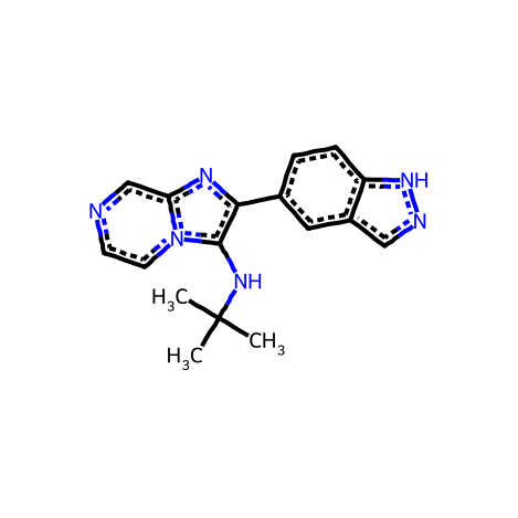 CC(C)(C)Nc1c(-c2ccc3[nH]ncc3c2)nc2cnccn12